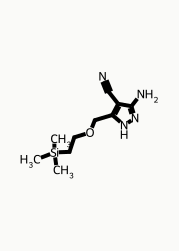 C[Si](C)(C)CCOCc1[nH]nc(N)c1C#N